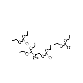 CCOP([O-])OCC.CCOP([O-])OCC.CCOP([O-])OCC.CCOP([O-])OCC.[C+4]